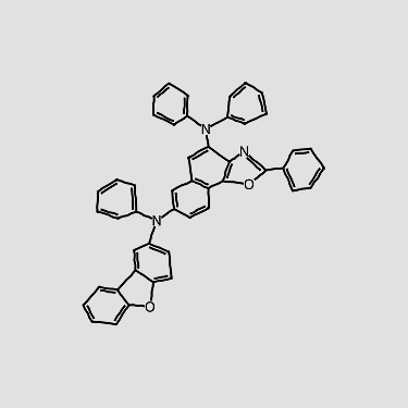 c1ccc(-c2nc3c(N(c4ccccc4)c4ccccc4)cc4cc(N(c5ccccc5)c5ccc6oc7ccccc7c6c5)ccc4c3o2)cc1